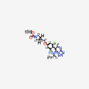 Cc1nc2ncnn2c(N[C@H](C)C(C)C)c1-c1c(F)cc(OCC2[C@H]3CN(C(=O)OC(C)(C)C)C[C@@H]23)cc1F